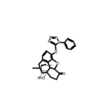 CN1CC[C@]23c4c5ccc(Oc6nnnn6-c6ccccc6)c4OC2C(=O)CC[C@@]3(O)[C@H]1C5